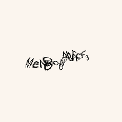 CNS(=O)(=O)c1ccc(C(=O)N2CCC3(CC2)c2ccc(C(F)(F)C(F)(F)F)n2CCN3C)cc1